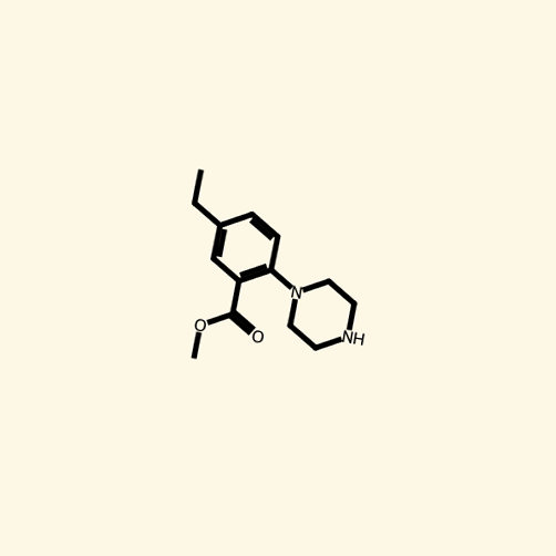 CCc1ccc(N2CCNCC2)c(C(=O)OC)c1